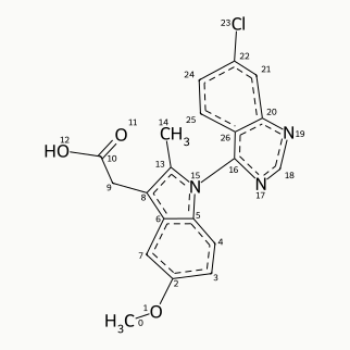 COc1ccc2c(c1)c(CC(=O)O)c(C)n2-c1ncnc2cc(Cl)ccc12